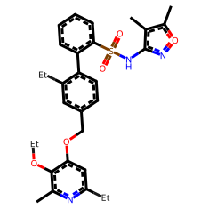 CCOc1c(OCc2ccc(-c3ccccc3S(=O)(=O)Nc3noc(C)c3C)c(CC)c2)cc(CC)nc1C